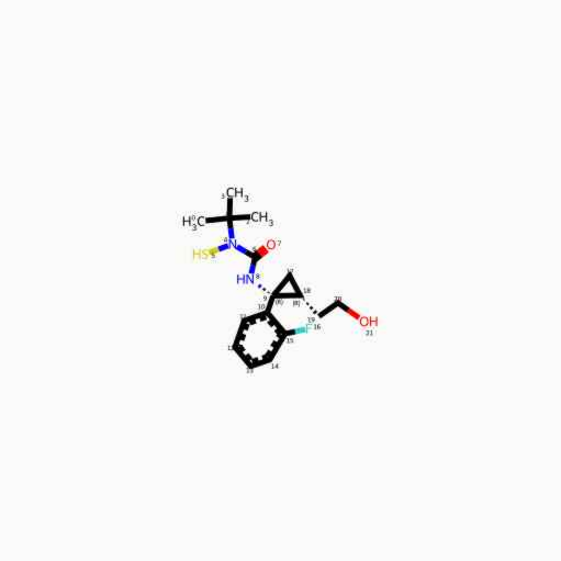 CC(C)(C)N(S)C(=O)N[C@]1(c2ccccc2F)C[C@@H]1CCO